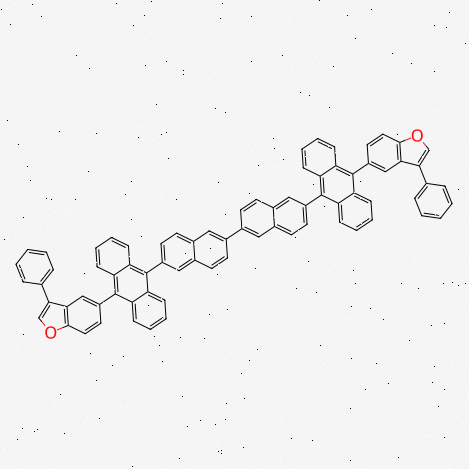 c1ccc(-c2coc3ccc(-c4c5ccccc5c(-c5ccc6cc(-c7ccc8cc(-c9c%10ccccc%10c(-c%10ccc%11occ(-c%12ccccc%12)c%11c%10)c%10ccccc9%10)ccc8c7)ccc6c5)c5ccccc45)cc23)cc1